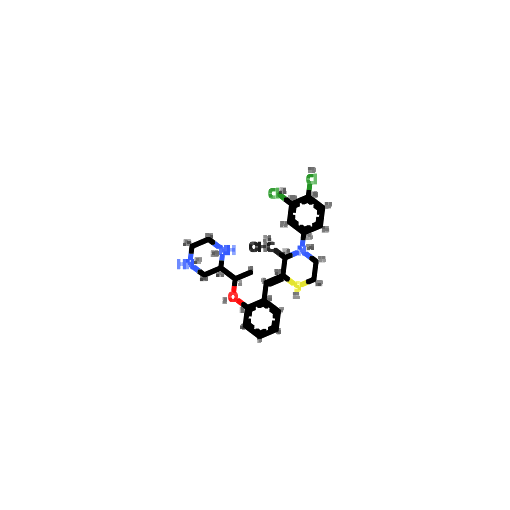 CC(Oc1ccccc1C=C1SCCN(c2ccc(Cl)c(Cl)c2)C1C=O)C1CNCCN1